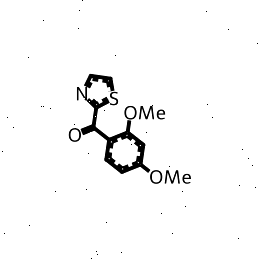 COc1ccc(C(=O)c2nccs2)c(OC)c1